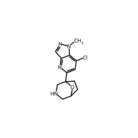 Cn1ncc2nc(C34CCC(CNC3)O4)cc(Cl)c21